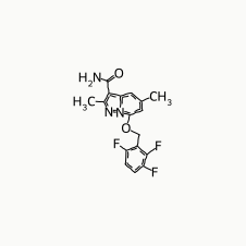 Cc1cc(OCc2c(F)ccc(F)c2F)n2nc(C)c(C(N)=O)c2c1